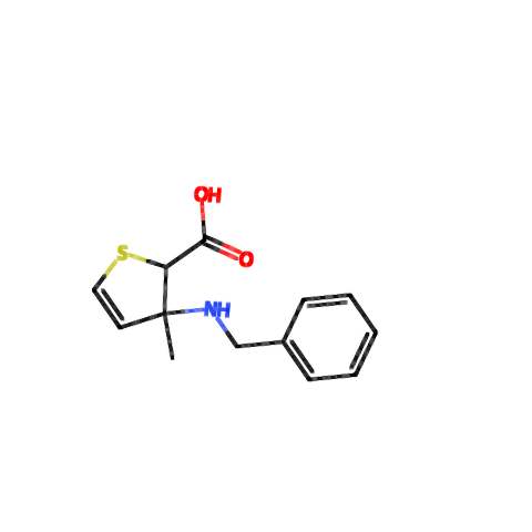 CC1(NCc2ccccc2)C=CSC1C(=O)O